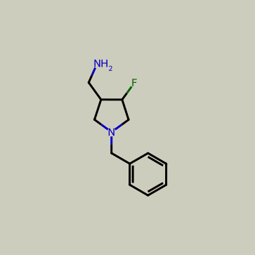 NCC1CN(Cc2ccccc2)CC1F